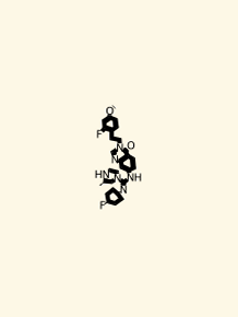 COc1ccc(CCn2cnc3cc(N/C(=N/[C@H]4CC[C@@H](F)CC4)N4CCN[C@@H](C)C4)ccc3c2=O)c(F)c1